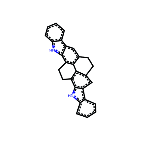 c1ccc2c(c1)[nH]c1c3c4c(cc12)CCc1cc2c([nH]c5ccccc52)c(c1-4)CC3